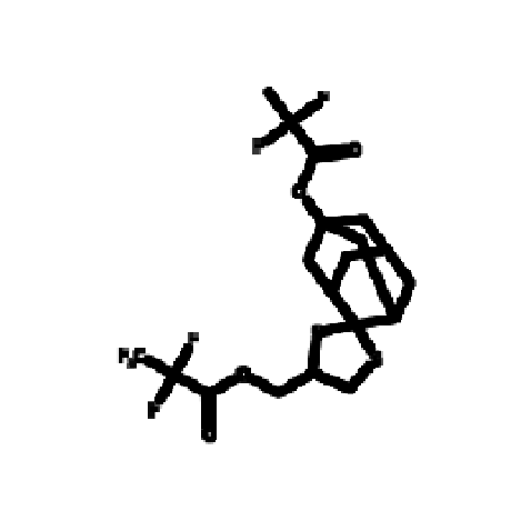 CC(F)(F)C(=O)OC12CC3CC(C1)C1(SCC(COC(=O)C(F)(F)C(F)(F)F)S1)C(C3)C2